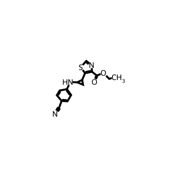 CCOC(=O)c1ncsc1C1CC1Nc1ccc(C#N)cc1